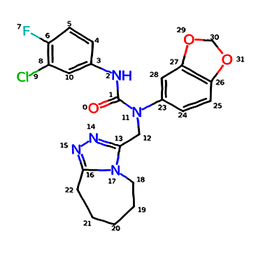 O=C(Nc1ccc(F)c(Cl)c1)N(Cc1nnc2n1CCCCC2)c1ccc2c(c1)OCO2